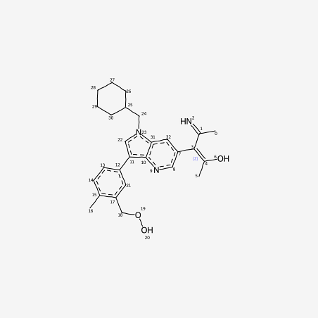 CC(=N)/C(=C(/C)O)c1cnc2c(-c3ccc(C)c(COO)c3)cn(CC3CCCCC3)c2c1